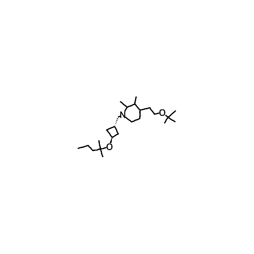 CCCC(C)(C)O[C@H]1C[C@H](CN2CCC(CCOC(C)(C)C)C(C)C2C)C1